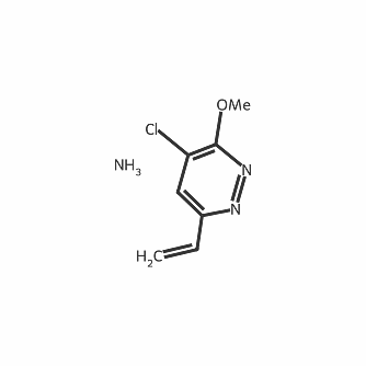 C=Cc1cc(Cl)c(OC)nn1.N